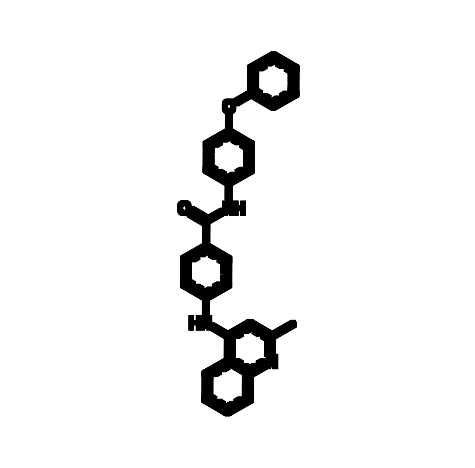 Cc1cc(Nc2ccc(C(=O)Nc3ccc(Oc4ccccc4)cc3)cc2)c2ccccc2n1